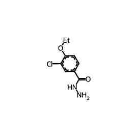 CCOc1ccc(C(=O)NN)cc1Cl